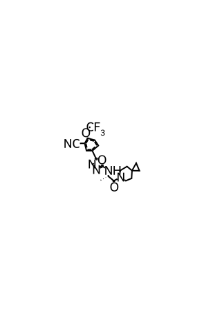 C[C@H](Nc1nnc(-c2ccc(OC(F)(F)F)c(C#N)c2)o1)C(=O)N1CCC2(CC1)CC2